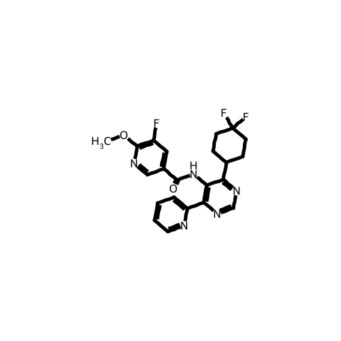 COc1ncc(C(=O)Nc2c(-c3ccccn3)ncnc2C2CCC(F)(F)CC2)cc1F